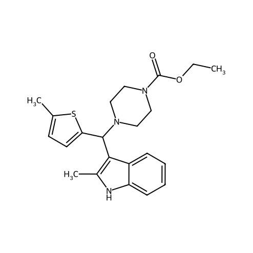 CCOC(=O)N1CCN(C(c2ccc(C)s2)c2c(C)[nH]c3ccccc23)CC1